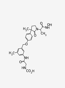 Cc1cc(COc2ccc(C3(C)CCN(C(C)C(=O)NO)C3=O)cc2)cc(NC(=O)CNC(=O)O)c1